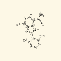 N#Cc1cccc(Cl)c1-c1nc2c(F)cnc(C(N)=O)c2s1